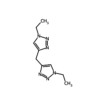 CCn1cc(Cc2cn(CC)nn2)nn1